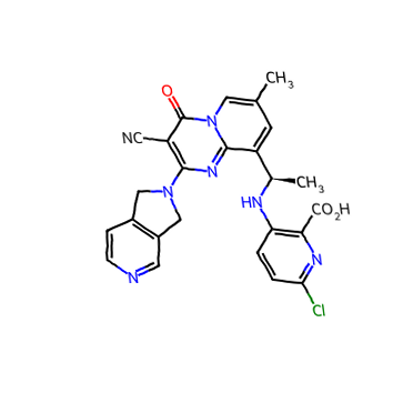 Cc1cc([C@@H](C)Nc2ccc(Cl)nc2C(=O)O)c2nc(N3Cc4ccncc4C3)c(C#N)c(=O)n2c1